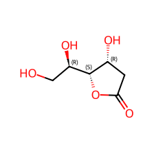 O=C1C[C@@H](O)[C@@H]([C@H](O)CO)O1